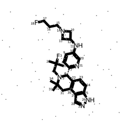 CC(C)(F)CN1[C@H](c2ccc(NC3CN(CCCF)C3)cn2)c2ccc3[nH]ncc3c2CC1(C)C